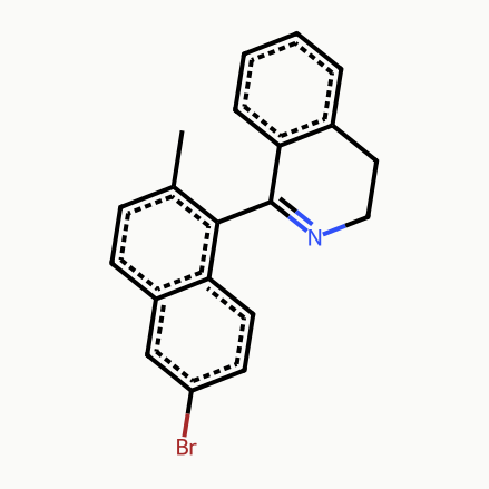 Cc1ccc2cc(Br)ccc2c1C1=NCCc2ccccc21